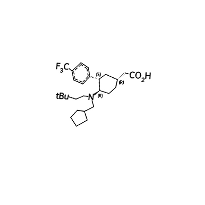 CC(C)(C)CCN(CC1CCCC1)[C@@H]1CC[C@@H](CC(=O)O)C[C@H]1c1ccc(C(F)(F)F)cc1